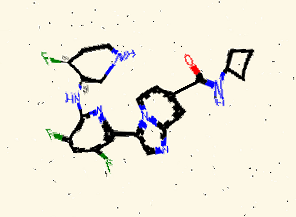 O=C(NC1CCC1)c1ccn2c(-c3nc(N[C@H]4CNCC[C@@H]4F)c(F)cc3F)cnc2c1